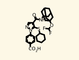 O=C(O)c1ccc(-n2ncc(C(=O)NC34CC5CC(C3)CC(OC(F)F)(C5)C4)c2SC2CCCCC2)cc1